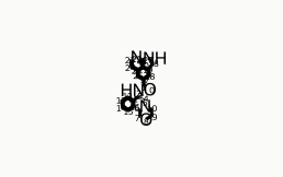 O=C(N[C@H](CN1CCOCC1)c1ccccc1)c1cc2c3c(nccc3c1)NC2